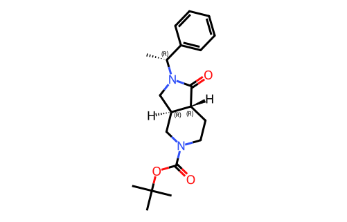 C[C@H](c1ccccc1)N1C[C@@H]2CN(C(=O)OC(C)(C)C)CC[C@H]2C1=O